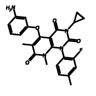 Cc1ccc(-n2c(=O)n(C3CC3)c(=O)c3c(Oc4cccc(N)c4)c(C)c(=O)n(C)c32)c(F)c1